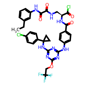 CCc1cccc(NC(=O)C(=O)NC[C@H](NC(=O)c2ccc(Nc3nc(NC4(c5ccc(Cl)cc5)CC4)nc(OCC(F)(F)F)n3)cc2)C(=O)Cl)c1